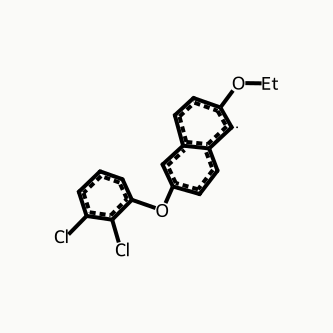 CCOc1[c]c2ccc(Oc3cccc(Cl)c3Cl)cc2cc1